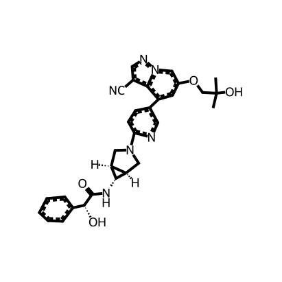 CC(C)(O)COc1cc(-c2ccc(N3C[C@@H]4[C@H](C3)[C@H]4NC(=O)[C@H](O)c3ccccc3)nc2)c2c(C#N)cnn2c1